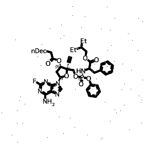 C#C[C@]1(CO[P@@](=O)(NC(Cc2ccccc2)C(=O)OCC(CC)CC)Oc2ccccc2)O[C@@H](n2cnc3c(N)nc(F)nc32)C[C@@H]1OC(=O)CCCCCCCCCCC